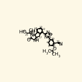 CC(C)Oc1ccc(-c2nc(-c3cccc4c3C[C@H]3CC(=O)N([C@H](C)CO)[C@@H]43)no2)cc1C#N